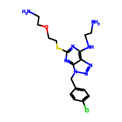 NCCNc1nc(SCCOCCN)nc2c1nnn2Cc1ccc(Cl)cc1